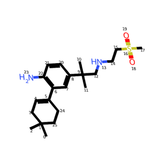 CC1(C)CC=C(c2cc(C(C)(C)CNCCS(C)(=O)=O)ccc2N)CC1